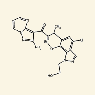 CCOc1c(C(C)NC(=O)c2c(N)nn3cccnc23)cc(Cl)c2cnn(CCO)c12